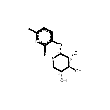 Cc1ccc(O[C@H]2SC[C@@H](O)[C@H](O)[C@H]2O)c(F)n1